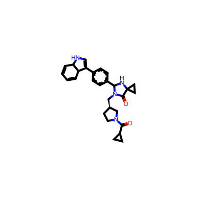 O=C(C1CC1)N1CC[C@@H](CN2C(=O)C3(CC3)NC2c2ccc(C3=CNC4C=CC=CC34)cc2)C1